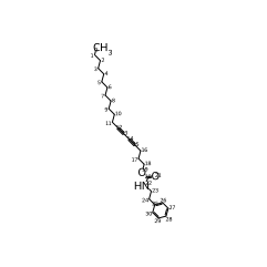 CCCCCCCCCCCCC#CC#CCCCOC(=O)NCCc1ccccc1